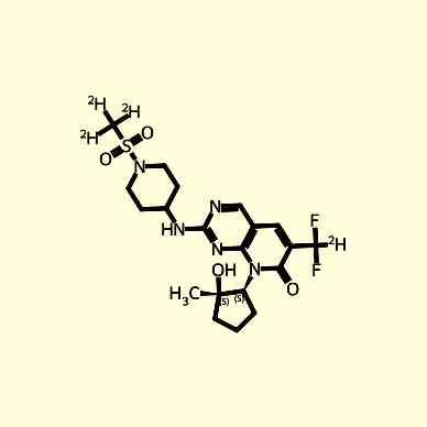 [2H]C(F)(F)c1cc2cnc(NC3CCN(S(=O)(=O)C([2H])([2H])[2H])CC3)nc2n([C@H]2CCC[C@]2(C)O)c1=O